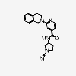 N#CN1CCC(NC(=O)c2ccnc(N3CCc4ccccc4C3)c2)C1